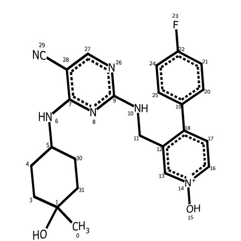 CC1(O)CCC(Nc2nc(NCc3c[n+](O)ccc3-c3ccc(F)cc3)ncc2C#N)CC1